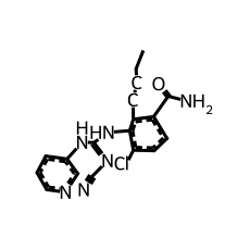 CCCCc1c(C(N)=O)ccc(Cl)c1NC(=NC#N)Nc1cccnc1